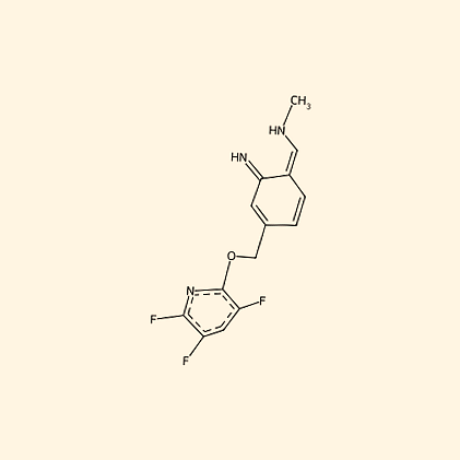 CN/C=C1/C=CC(COc2nc(F)c(F)cc2F)=CC1=N